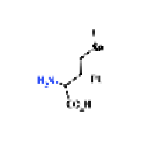 C[Se]CCC(N)C(=O)O.[Pt]